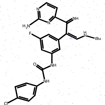 CC(C)(C)N/C=C(\C(=N)c1ccnc(N)n1)c1cc(F)cc(NC(=O)Nc2ccc(Cl)cc2)c1